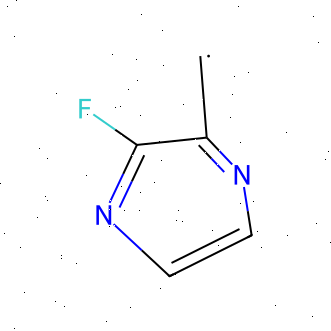 [CH2]c1nccnc1F